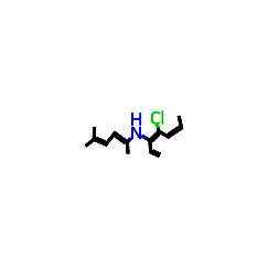 C=C/C(N/C(C)=C/C=C(C)C)=C(Cl)\C=C/C